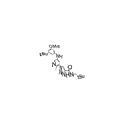 COc1cc(Nc2cnc(C)c(-n3cc(C(=O)NCC(C)(C)C)nn3)c2)cc(C(C)(C)C)c1